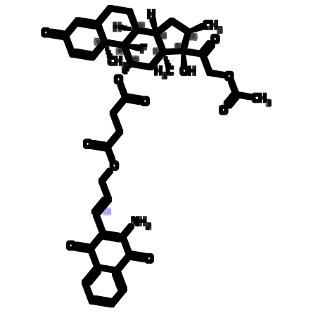 CC(=O)OCC(=O)[C@@]1(O)[C@H](C)C[C@H]2[C@@H]3CCC4=CC(=O)C=C[C@]4(C)[C@@]3(F)[C@@H](OC(=O)CCC(=O)OC/C=C/C3=C(N)C(=O)c4ccccc4C3=O)C[C@@]21C